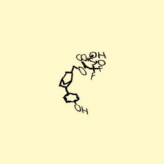 O=C(OCC1CC2CC(c3ccc(O)cc3)C1C2)C(F)(F)S(=O)(=O)O